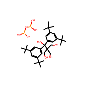 CC(C)(C)c1cc(C(C)(C)C)cc(C(O)(c2cc(C(C)(C)C)cc(C(C)(C)C)c2)C(CO)(CO)CO)c1.OP(O)OP(O)O